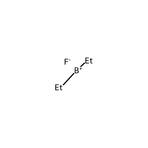 CC[B+]CC.[F-]